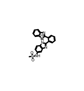 CS(=O)(=O)Nc1ccc2[nH]c(-c3ccccc3-c3nc4ccccc4[nH]3)nc2c1